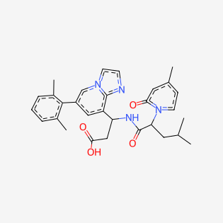 Cc1ccn(C(CC(C)C)C(=O)NC(CC(=O)O)c2cc(-c3c(C)cccc3C)cn3ccnc23)c(=O)c1